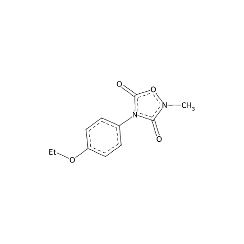 CCOc1ccc(-n2c(=O)on(C)c2=O)cc1